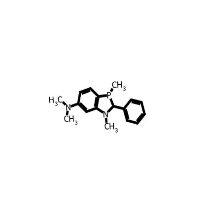 CN(C)c1ccc2c(c1)N(C)C(c1ccccc1)P2C